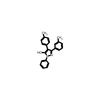 Cc1ccc(-c2c(-c3cccc(C)c3)nn(-c3ccccc3)c2O)cc1